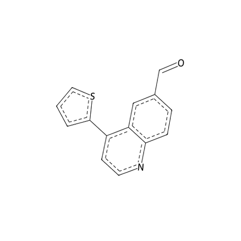 O=Cc1ccc2nccc(-c3cccs3)c2c1